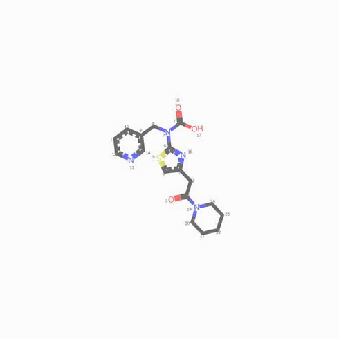 O=C(Cc1csc(N(Cc2cccnc2)C(=O)O)n1)N1CCCCC1